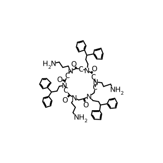 NCCCN1CCN(CCC(c2ccccc2)c2ccccc2)C(=O)CN(CCCN)C(=O)CN(CCC(c2ccccc2)c2ccccc2)C(=O)CN(CCCN)C(=O)CN(CCC(c2ccccc2)c2ccccc2)C(=O)C1